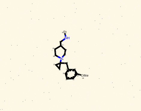 CCNCC1CCN(C2(Cc3cccc(OC)c3)CC2)CC1